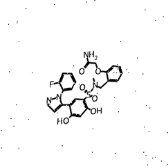 CN(Cc1ccccc1OCC(N)=O)S(=O)(=O)c1cc(-c2ccnn2-c2ccccc2F)c(O)cc1O